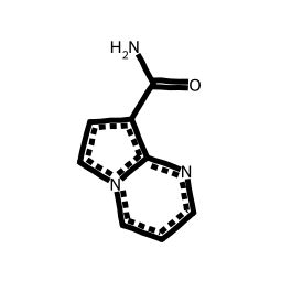 NC(=O)c1ccn2cccnc12